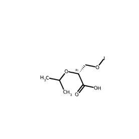 CC(C)O[C@H](COI)C(=O)O